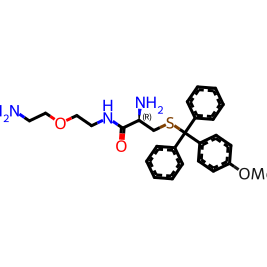 COc1ccc(C(SC[C@H](N)C(=O)NCCOCCN)(c2ccccc2)c2ccccc2)cc1